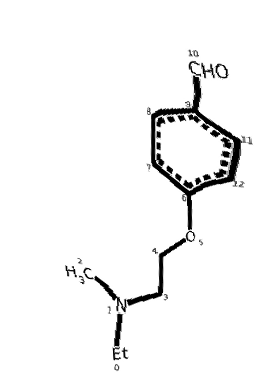 CCN(C)CCOc1ccc(C=O)cc1